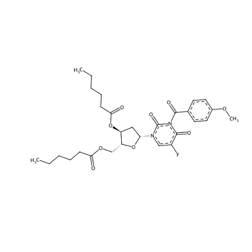 CCCCCC(=O)OC[C@H]1O[C@@H](n2cc(F)c(=O)n(C(=O)c3ccc(OC)cc3)c2=O)C[C@@H]1OC(=O)CCCCC